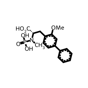 COc1cc(-c2ccccc2)ccc1C[C@@H](C(=O)O)N(C)P(=O)(O)O